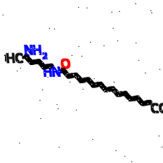 N[C@H]([C]=O)CCCCNC(=O)CCCCCCCCCCCCCCC(=O)O